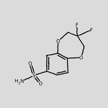 NS(=O)(=O)c1ccc2c(c1)OCC(F)(F)CO2